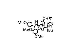 COc1ccc(C(NC(=O)C2CC(O)CN2C(=O)[C@@H](n2cc(C3CC3)nn2)C(C)(C)C)c2ccc(OC)cc2OC)cc1